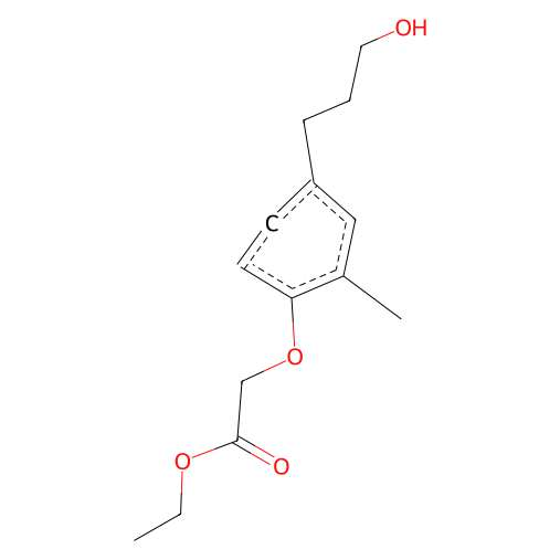 CCOC(=O)COc1ccc(CCCO)cc1C